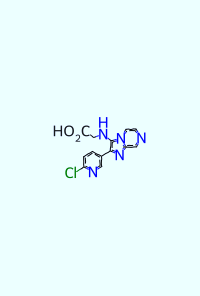 O=C(O)CNc1c(-c2ccc(Cl)nc2)nc2cnccn12